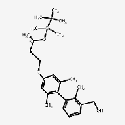 Cc1cc(OCC[C@@H](C)O[Si](C)(C)C(C)(C)C)cc(C)c1-c1cccc(CO)c1C